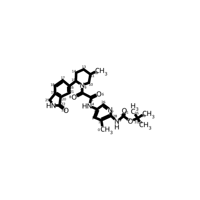 Cc1cc(NC(=O)C(=O)N2CC(C)CCC2c2ccc3c(c2)C(=O)NC3)cnc1NC(=O)OC(C)(C)C